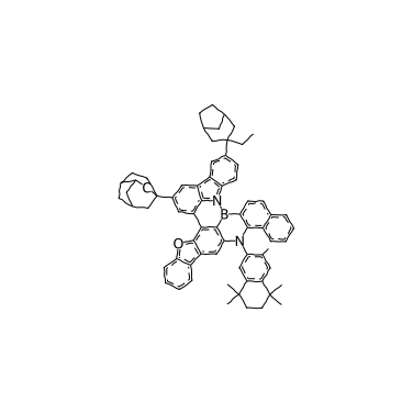 CCC1(c2ccc3c(c2)c2cc(C45CCC6CC(CC6C4)C5)cc4c2n3B2c3ccc5ccccc5c3N(c3cc5c(cc3C)C(C)(C)CCC5(C)C)c3cc5c(oc6ccccc65)c-4c32)CC2CCC(C2)C1